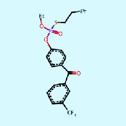 CCOP(=O)(Oc1ccc(C(=O)c2cccc(C(F)(F)F)c2)cc1)SCCC(C)C